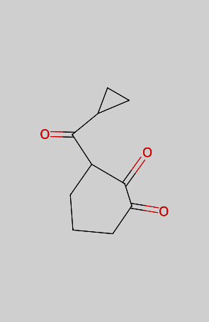 O=C1CCCC(C(=O)C2CC2)C1=O